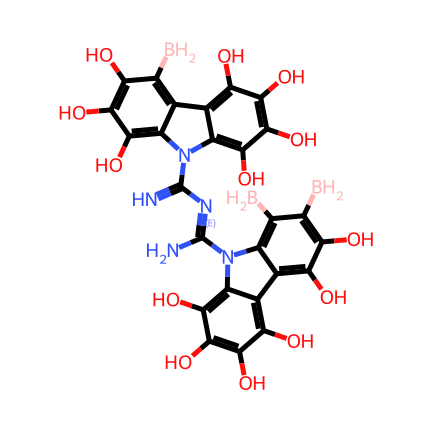 Bc1c(O)c(O)c2c3c(O)c(O)c(O)c(O)c3n(/C(N)=N/C(=N)n3c4c(O)c(O)c(O)c(B)c4c4c(O)c(O)c(O)c(O)c43)c2c1B